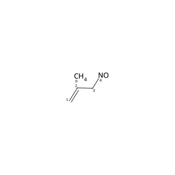 C.C=CCN=O